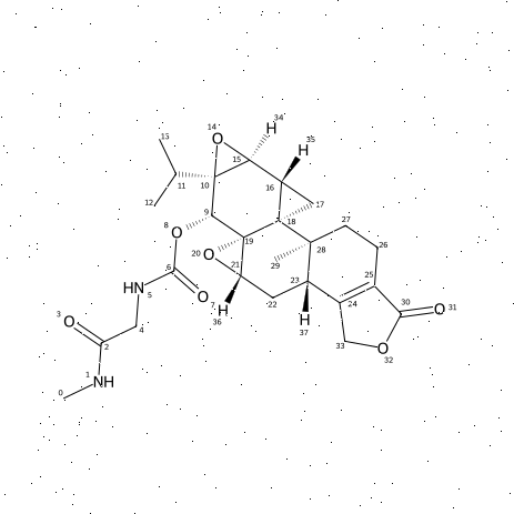 CNC(=O)CNC(=O)O[C@@H]1[C@@]2(C(C)C)O[C@H]2[C@@H]2C[C@]23[C@]12O[C@H]2C[C@H]1C2=C(CC[C@@]13C)C(=O)OC2